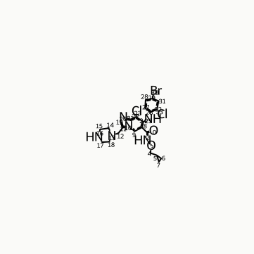 O=C(NOCC1CC1)c1cn2c(CN3CCNCC3)cnc2c(Cl)c1Nc1ccc(Br)cc1Cl